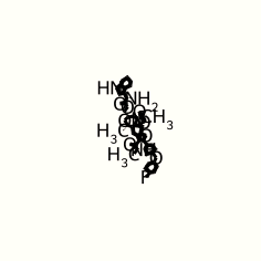 CNC(=O)c1c(-c2ccc(Oc3ccc(F)cc3)cc2)oc2cc3c(cc12)[C@H](C)O[C@H](COC(=O)[C@@H](N)c1c[nH]c2ccccc12)CN3S(C)(=O)=O